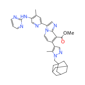 COC(=O)c1c(-c2cnn(CC34CC5CC(CC(C5)C3)C4)c2C)ccn2c(-c3cc(C)c(Nc4ncccn4)cn3)cnc12